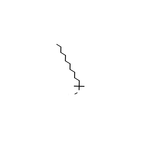 CCCCCCCCCCC(C)(C)O[SiH3]